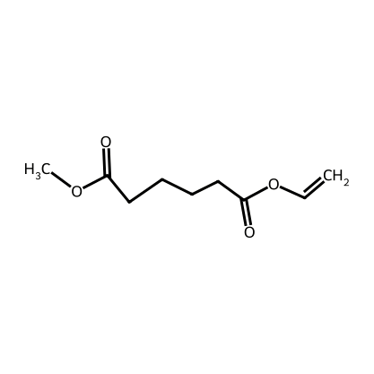 C=COC(=O)CCCCC(=O)OC